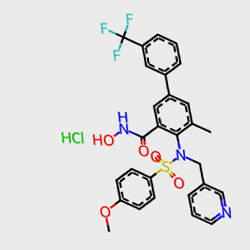 COc1ccc(S(=O)(=O)N(Cc2cccnc2)c2c(C)cc(-c3cccc(C(F)(F)F)c3)cc2C(=O)NO)cc1.Cl